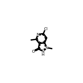 Cc1nc(Cl)cc2c1c(=O)[nH]n2C